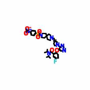 CC(C)N(C(=O)c1cc(F)ccc1Oc1cncnc1N1CC[C@@H](CN2CCC3(CC2)CCN(S(=O)(=O)c2ccc([N+](=O)[O-])cc2)CC3)C1)C(C)C